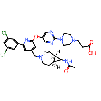 CC(=O)NC1[C@H]2CCN(Cc3cc(Oc4cnc(N5CCN(CCC(=O)O)CC5)nc4)nc(-c4cc(Cl)cc(Cl)c4)c3)CC[C@@H]12